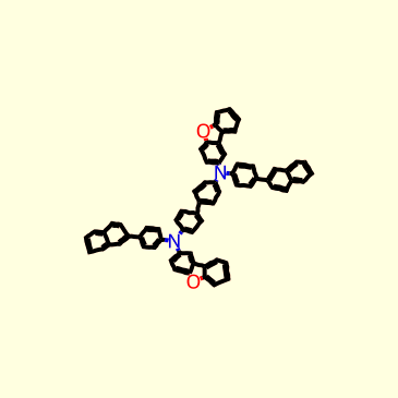 c1ccc2cc(-c3ccc(N(c4ccc(-c5ccc(N(c6ccc(-c7ccc8ccccc8c7)cc6)c6ccc7oc8ccccc8c7c6)cc5)cc4)c4ccc5oc6ccccc6c5c4)cc3)ccc2c1